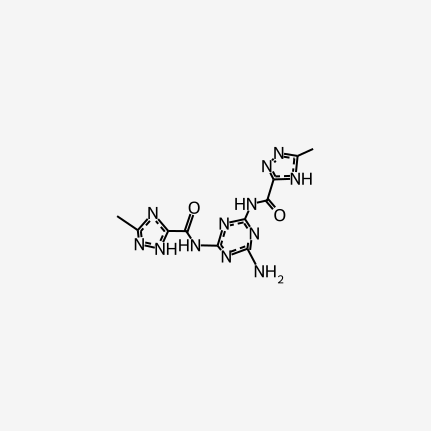 Cc1n[nH]c(C(=O)Nc2nc(N)nc(NC(=O)c3nnc(C)[nH]3)n2)n1